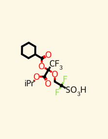 CC(C)OC(=O)C(OCC(F)(F)S(=O)(=O)O)(OC(=O)C1CCCCC1)C(F)(F)F